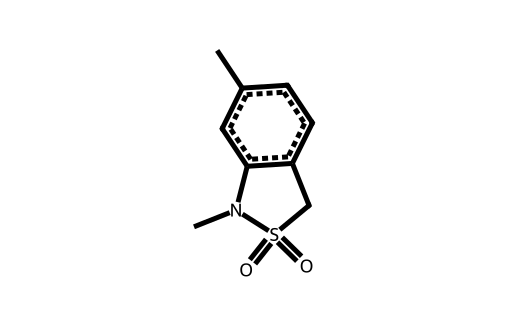 Cc1ccc2c(c1)N(C)S(=O)(=O)C2